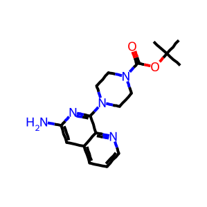 CC(C)(C)OC(=O)N1CCN(c2nc(N)cc3cccnc23)CC1